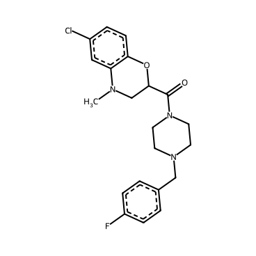 CN1CC(C(=O)N2CCN(Cc3ccc(F)cc3)CC2)Oc2ccc(Cl)cc21